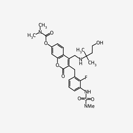 CNS(=O)(=O)Nc1cccc(Cc2c(CNC(C)(C)CCO)c3ccc(OC(=O)N(C)C)cc3oc2=O)c1F